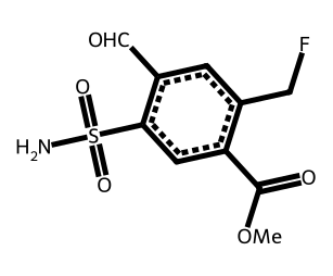 COC(=O)c1cc(S(N)(=O)=O)c(C=O)cc1CF